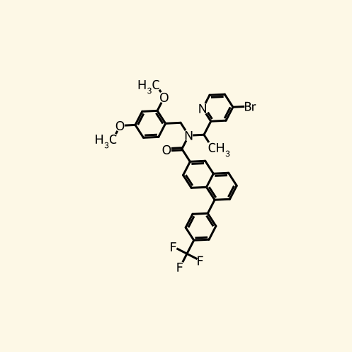 COc1ccc(CN(C(=O)c2ccc3c(-c4ccc(C(F)(F)F)cc4)cccc3c2)C(C)c2cc(Br)ccn2)c(OC)c1